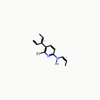 C=C/C(=C\C)c1ccc(N(/C=C\C)C(C)=O)nc1CC